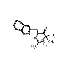 CC(C)NC(Cc1cc2ccccc2cn1)C(=O)C(C)(C)C